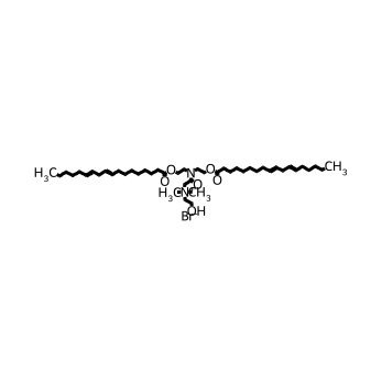 CCCCCC=CCC=CCCCCCCCC(=O)OCCN(CCOC(=O)CCCCCCCC=CCC=CCCCCC)C(=O)C[N+](C)(C)CCO.[Br-]